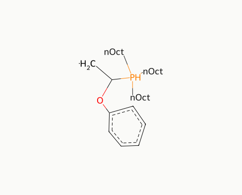 [CH2]C(Oc1ccccc1)[PH](CCCCCCCC)(CCCCCCCC)CCCCCCCC